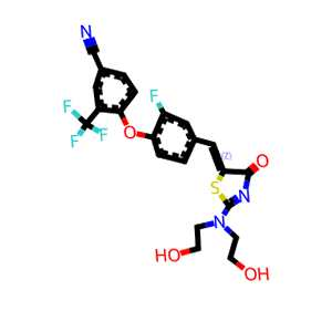 N#Cc1ccc(Oc2ccc(/C=C3\SC(N(CCO)CCO)=NC3=O)cc2F)c(C(F)(F)F)c1